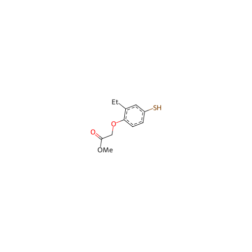 CCc1cc(S)ccc1OCC(=O)OC